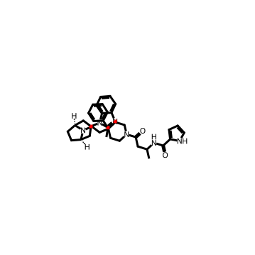 Cc1nc2ccccc2n1C1C[C@H]2CC[C@@H](C1)N2CCC1(c2ccccc2)CCN(C(=O)CC(C)NC(=O)c2ccc[nH]2)CC1